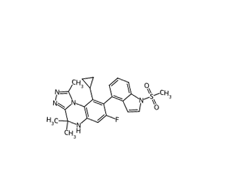 Cc1nnc2n1-c1c(cc(F)c(-c3cccc4c3ccn4S(C)(=O)=O)c1C1CC1)NC2(C)C